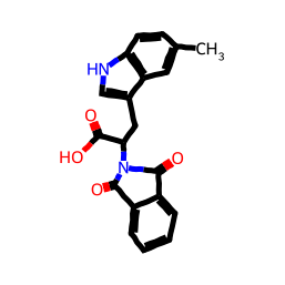 Cc1ccc2[nH]cc(CC(C(=O)O)N3C(=O)c4ccccc4C3=O)c2c1